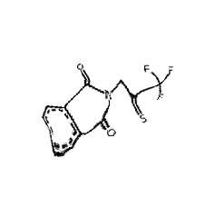 O=C1c2ccccc2C(=O)N1CC(=S)C(F)(F)F